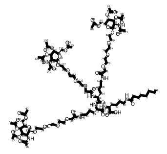 CCCCCCCC(=O)NCCCC[C@H](NC(=O)[C@H](CCCCNC(=O)COCCOCCOCCO[C@@H]1O[C@H](COC(C)=O)[C@H](OC(C)=O)C(OC(C)=O)[C@H]1NC(C)=O)NC(=O)[C@H](CCCCNC(=O)COCCOCCOCCO[C@@H]1O[C@H](COC(C)=O)[C@H](OC(C)=O)[C@H](OC(C)=O)[C@H]1NC(C)=O)NC(=O)COCCOCCOCCO[C@@H]1O[C@H](COC(C)=O)[C@H](OC(C)=O)[C@H](OC(C)=O)C1NC(C)=O)C(=O)O